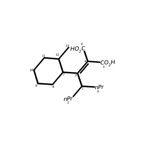 CCCC(CCC)C(=C(C(=O)O)C(=O)O)C1CCCCC1C